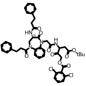 CC(C)(C)OC(=O)CC(NC(=O)CN1C(=O)[C@@H](NC(=O)CCc2ccccc2)CN(C(=O)CCc2ccccc2)c2ccccc21)C(=O)COC(=O)c1c(Cl)cccc1Cl